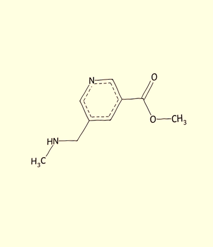 CNCc1cncc(C(=O)OC)c1